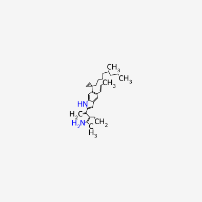 C=C/C(C(=C)c1cc2cc(/C=C/C)c(C3(CCCCC(C)CCC)C=C3)cc2[nH]1)=C(\C)N